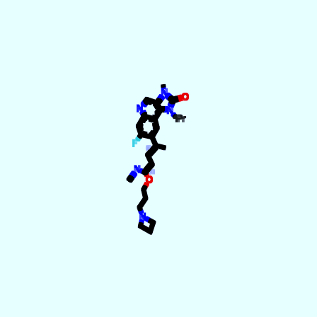 C=N/C(=C\C=C(/C)c1cc2c(cc1F)ncc1c2n(C(C)C)c(=O)n1C)OCCCN1CCC1